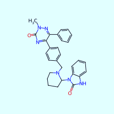 Cn1nc(-c2ccccc2)c(-c2ccc(CN3CCCCC3n3c(=O)[nH]c4ccccc43)cc2)nc1=O